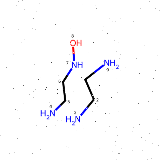 NCCN.NCCNO